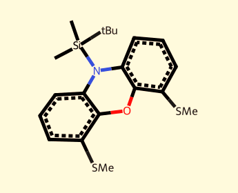 CSc1cccc2c1Oc1c(SC)cccc1N2[Si](C)(C)C(C)(C)C